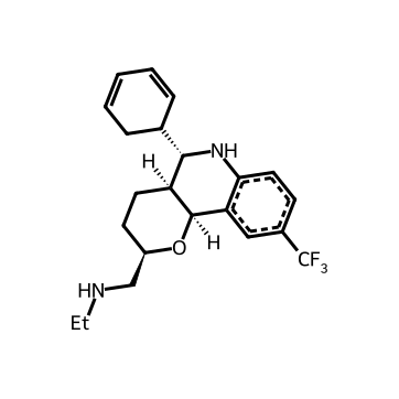 CCNC[C@H]1CC[C@@H]2[C@H](O1)c1cc(C(F)(F)F)ccc1N[C@H]2C1C=CC=CC1